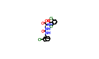 O=C(NC[C@H](NC(=O)c1c(Cl)cccc1Cl)C(=O)O)NCC12CC3CC(CC(Cl)(C3)C1)C2